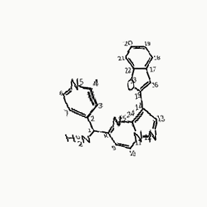 NC(c1ccncc1)c1ccn2ncc(-c3cc4ccccc4o3)c2n1